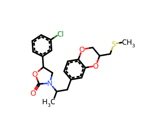 CSCC1COc2ccc(CC(C)N3CC(c4cccc(Cl)c4)OC3=O)cc2O1